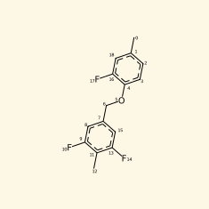 Cc1ccc(OCc2cc(F)c(C)c(F)c2)c(F)c1